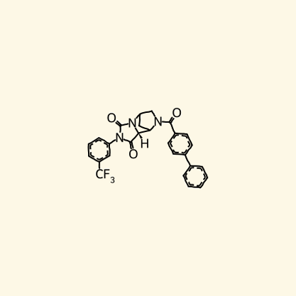 O=C1[C@H]2C3CC(CN3C(=O)c3ccc(-c4ccccc4)cc3)N2C(=O)N1c1cccc(C(F)(F)F)c1